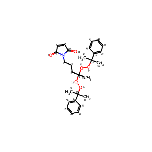 CC(CCCN1C(=O)C=CC1=O)(OOC(C)(C)c1ccccc1)OOC(C)(C)c1ccccc1